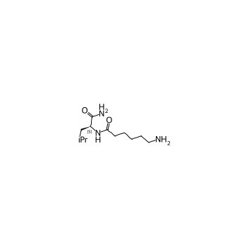 CC(C)C[C@H](NC(=O)CCCCCN)C(N)=O